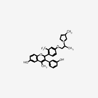 CC1=C(c2cccc(O)c2)C(c2ccc(OCC(C)N3CCC(C)C3)cc2C(F)(F)F)Oc2ccc(O)cc21